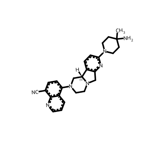 CC1(N)CCN(c2ccc3c(n2)CN2CCN(c4ccc(C#N)c5ncccc45)C[C@H]32)CC1